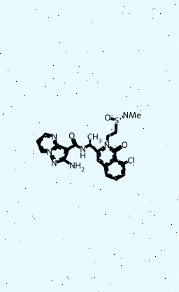 CN[S+]([O-])CCn1c([C@H](C)NC(=O)c2c(N)nn3cccnc23)cc2cccc(Cl)c2c1=O